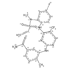 C=CS(=O)(=O)N(C)c1cc(F)ccc1Nc1nc(Nc2cc(C(N)=O)ccc2C)ncc1C(F)(F)F